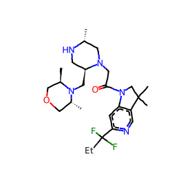 CCC(F)(F)c1cc2c(cn1)C(C)(C)CN2C(=O)CN1C[C@@H](C)NC[C@@H]1CN1[C@H](C)COC[C@H]1C